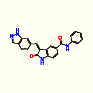 O=C1Nc2ccc(C(=O)Nc3ccccc3)cc2C1=Cc1ccc2cn[nH]c2c1